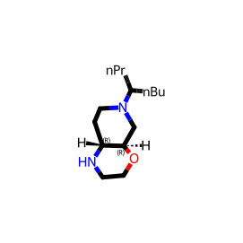 CCCCC(CCC)N1CC[C@H]2NCCO[C@@H]2C1